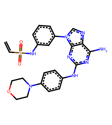 C=CS(=O)(=O)Nc1cccc(-n2cnc3c(N)nc(Nc4ccc(N5CCOCC5)cc4)nc32)c1